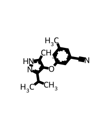 Cc1cc(C#N)cc(Oc2c(C(C)C)n[nH]c2C)c1